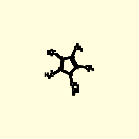 C[C]1C(C)=C(C)C(C)=C1C.[LiH]